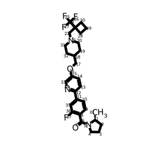 C[C@H]1CCCN1C(=O)c1ccc(-c2ccc(OCC3CCN(CC4(C(F)(F)F)CCC4)CC3)cn2)cc1F